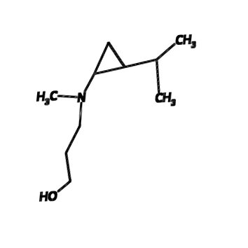 CC(C)C1CC1N(C)CCCO